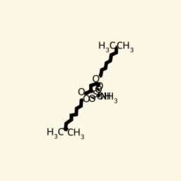 CC(C)CCCCCCCOC(=O)CC(C(=O)OCCCCCCCC(C)C)S(=O)(=O)O.N